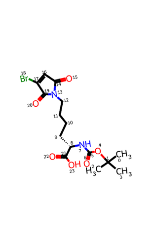 CC(C)(C)OC(=O)N[C@@H](CCCCN1C(=O)C=C(Br)C1=O)C(=O)O